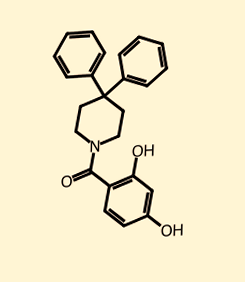 O=C(c1ccc(O)cc1O)N1CCC(c2ccccc2)(c2ccccc2)CC1